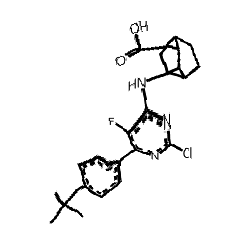 CC(C)(C)c1ccc(-c2nc(Cl)nc(NC3C4CCC(CC4)C3C(=O)O)c2F)cc1